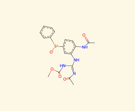 COC(=O)N/C(=N\C(C)=O)Nc1cc([S+]([O-])c2ccccc2)ccc1NC(C)=O